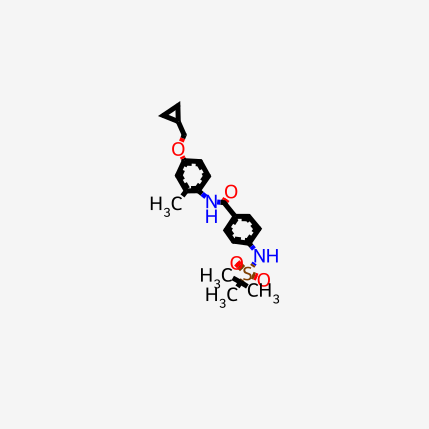 Cc1cc(OCC2CC2)ccc1NC(=O)c1ccc(NS(=O)(=O)C(C)(C)C)cc1